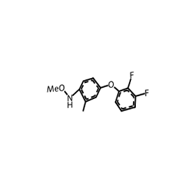 CONc1ccc(Oc2cccc(F)c2F)cc1C